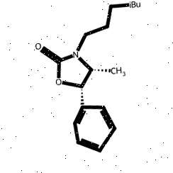 CCC(C)CCCN1C(=O)O[C@@H](c2ccccc2)[C@H]1C